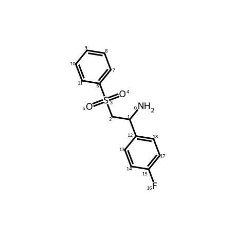 NC(CS(=O)(=O)c1ccccc1)c1ccc(F)cc1